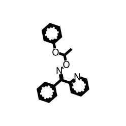 CC(ON=C(c1ccccc1)c1ccccn1)Oc1ccccc1